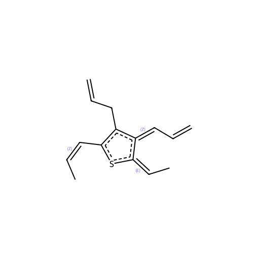 C=C/C=c1/c(CC=C)c(/C=C\C)s/c1=C/C